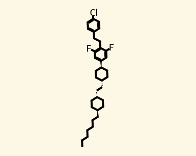 CCCCCCC[C@H]1CC[C@H](CC[C@H]2CC[C@H](c3cc(F)c(CCc4ccc(Cl)cc4)c(F)c3)CC2)CC1